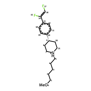 COCCCCC[Si@H]1CC[C@H](c2ccc(C(F)=CF)cc2)CC1